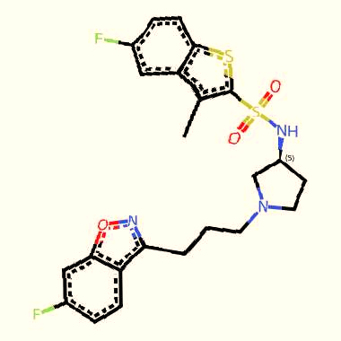 Cc1c(S(=O)(=O)N[C@H]2CCN(CCCc3noc4cc(F)ccc34)C2)sc2ccc(F)cc12